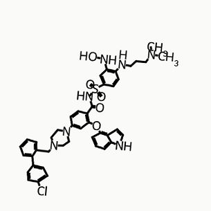 CN(C)CCCNc1ccc(S(=O)(=O)NC(=O)c2ccc(N3CCN(Cc4ccccc4-c4ccc(Cl)cc4)CC3)cc2Oc2cccc3[nH]ccc23)cc1NO